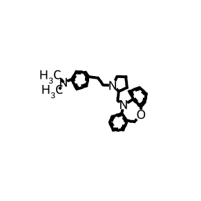 CN(C)c1ccc(CCN2CCCC2CN2c3ccccc3COc3ccccc32)cc1